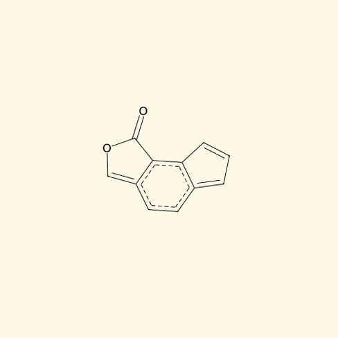 O=C1OC=c2ccc3c(c21)C=CC=3